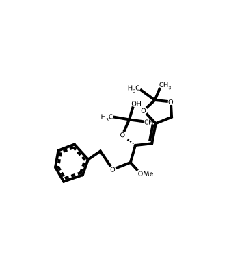 COC(OCc1ccccc1)[C@@H](/C=C1/COC(C)(C)O1)OC(C)(C)O